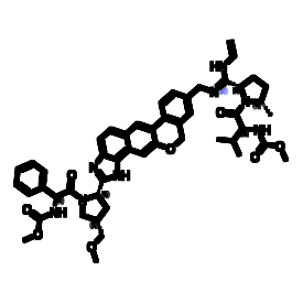 C=CN/C(=N\Cc1ccc2c(c1)COc1cc3c(ccc4nc([C@@H]5C[C@H](COC)CN5C(=O)[C@H](NC(=O)OC)c5ccccc5)[nH]c43)cc1-2)[C@@H]1CC[C@H](C)N1C(=O)[C@@H](NC(=O)OC)C(C)C